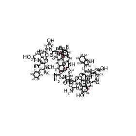 CCCC[C@@H](C(=O)N1C[C@H](O)C[C@@H]1C(=O)N[C@@H](CC(=O)O)C(=O)N[C@H](C(=O)N(C)C(Cc1ccccc1)C(C)=O)C(C)C)N(C)C(=O)[C@H](Cc1ccccc1)N(C)C(=O)[C@H](Cc1cc(F)c(F)c(F)c1)NC(=O)CSC[C@H](NC(=O)[C@H](CC(N)=O)NC(=O)[C@H](Cc1ccc(O)cc1)NC(=O)[C@H](Cc1c[nH]c2ccccc12)NC(=O)[C@H]1C[C@@H](O)CN1C1OC1[C@@H](N)CC(=O)O)C(=O)NCC(N)=O